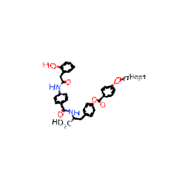 CCCCCCCOc1ccc(C(=O)Oc2ccc(C[C@H](NC(=O)c3ccc(NC(=O)Cc4ccccc4O)cc3)C(=O)O)cc2)cc1